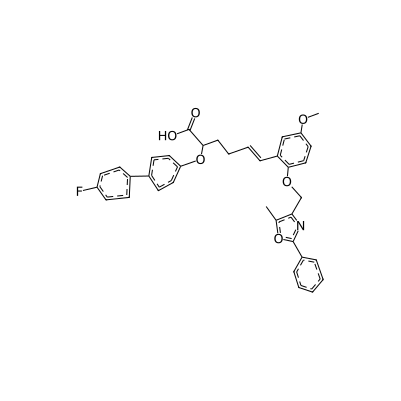 COc1ccc(OCc2nc(-c3ccccc3)oc2C)c(C=CCCC(Oc2ccc(-c3ccc(F)cc3)cc2)C(=O)O)c1